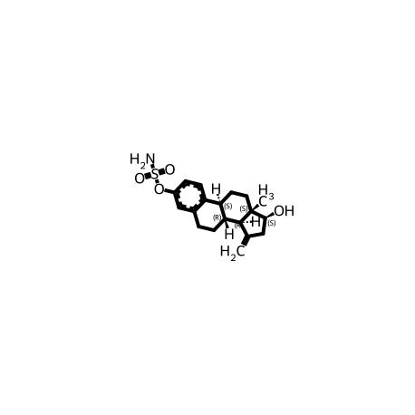 C=C1C[C@H](O)[C@@]2(C)CC[C@@H]3c4ccc(OS(N)(=O)=O)cc4CC[C@H]3[C@H]12